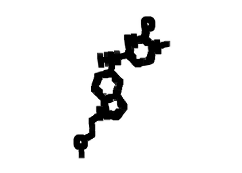 COCCn1ccc2cc(Nc3ccn(C)c(=O)n3)ccc21